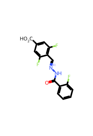 O=C(O)c1cc(F)c(/C=N/NC(=O)c2ccccc2F)c(F)c1